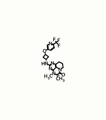 C[C@H]1C(=O)N2CCCc3nc(N[C@H]4C[C@H](Oc5ccc(C(F)(F)F)nc5)C4)nc(c32)N1C